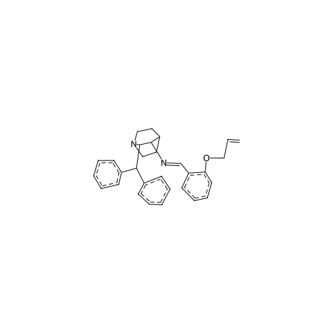 C=CCOc1ccccc1C=NC1C2CCN(CC2)C1C(c1ccccc1)c1ccccc1